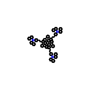 C1=CC2c3ccccc3[C@]3(c4cc(/C=C/c5ccc(N(c6cccc7ccccc67)c6cccc7ccccc67)cc5)ccc4-c4c5c(c6c(c43)-c3ccc(/C=C/c4ccc(N(c7cccc8ccccc78)c7cccc8ccccc78)cc4)cc3C63c4ccccc4-c4ccccc43)-c3ccc(/C=C/c4ccc(N(c6cccc7ccccc67)c6cccc7ccccc67)cc4)cc3C53c4ccccc4-c4ccccc43)C2C=C1